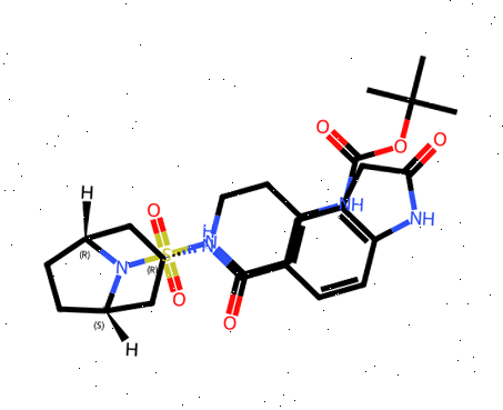 CC(C)(C)OC(=O)NC1CCN(S(=O)(=O)N2[C@@H]3CC[C@H]2C[C@@H](NC(=O)c2ccc4c(c2)CC(=O)N4)C3)CC1